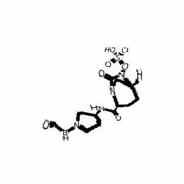 O=CBN1CC[C@H](NC(=O)[C@@H]2CC[C@@H]3CN2C(=O)N3OS(=O)(=O)O)C1